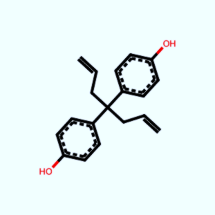 C=CCC(CC=C)(c1ccc(O)cc1)c1ccc(O)cc1